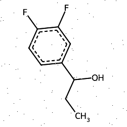 CC[C](O)c1ccc(F)c(F)c1